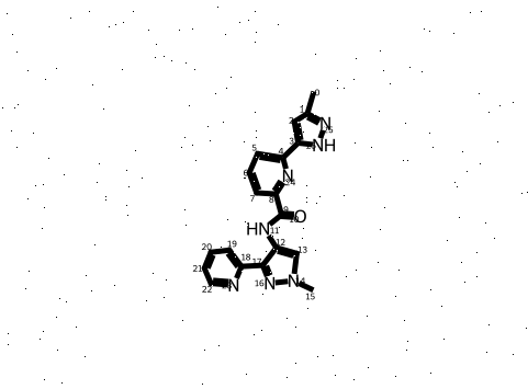 Cc1cc(-c2cccc(C(=O)Nc3cn(C)nc3-c3ccccn3)n2)[nH]n1